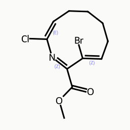 COC(=O)C1=N/C(Cl)=C\CCCC\C=C\1Br